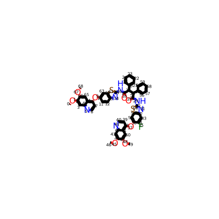 COc1cc2nccc(Oc3ccc4nc(NC(=O)C(c5ccccc5)C(C(=O)Nc5nc6cc(F)c(Oc7ccnc8cc(OC)c(OC)cc78)cc6s5)c5ccccc5)sc4c3)c2cc1OC